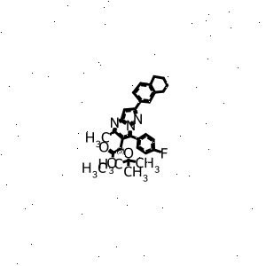 COC(=O)[C@@H](OC(C)(C)C)c1c(C)nc2cc(-c3ccc4c(c3)CCCC4)nn2c1-c1ccc(F)cc1